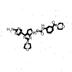 Nc1ncc(-c2nc(N3CCOCC3)nc3c2CCN3SOC(=O)Nc2cccc(C(=O)N3CCOCC3)c2)cn1